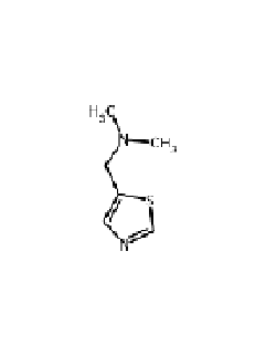 CN(C)Cc1cncs1